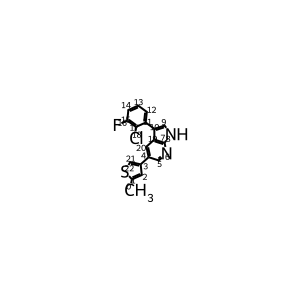 Cc1cc(-c2cnc3[nH]cc(-c4cccc(F)c4Cl)c3c2)cs1